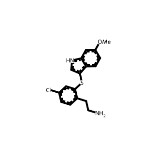 COc1ccc2c(Sc3cc(Cl)ccc3CCN)c[nH]c2c1